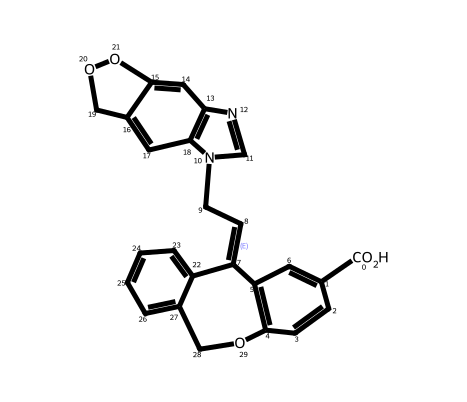 O=C(O)c1ccc2c(c1)/C(=C/Cn1cnc3cc4c(cc31)COO4)c1ccccc1CO2